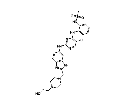 CS(=O)(=O)Nc1ccccc1Nc1nc(Nc2ccc3nc(CN4CCN(CCO)CC4)[nH]c3c2)ncc1Cl